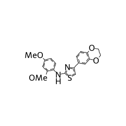 COc1ccc(Nc2nc(-c3ccc4c(c3)OCCO4)cs2)c(OC)c1